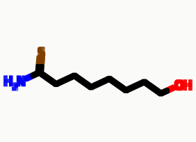 NC(=S)CCCCCCCO